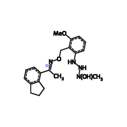 COc1cccc(NNN(C)O)c1CO/N=C(\C)c1cccc2c1CCC2